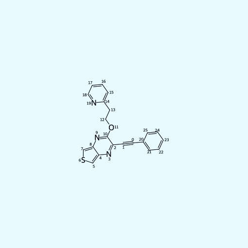 C(#Cc1nc2cscc2nc1OCCc1ccccn1)c1ccccc1